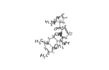 CCCN(CC(C)Cc1c(C)cc(C)cc1C)c1cccc(C(=O)c2cccnc2N)n1